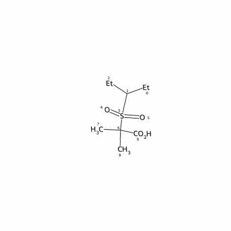 CCC(CC)S(=O)(=O)C(C)(C)C(=O)O